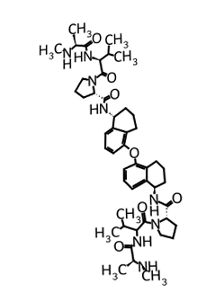 CN[C@@H](C)C(=O)NC(C(=O)N1CCC[C@H]1C(=O)N[C@@H]1CCCc2c(Oc3cccc4c3CCC[C@H]4NC(=O)[C@@H]3CCCN3C(=O)[C@@H](NC(=O)[C@H](C)NC)C(C)C)cccc21)C(C)C